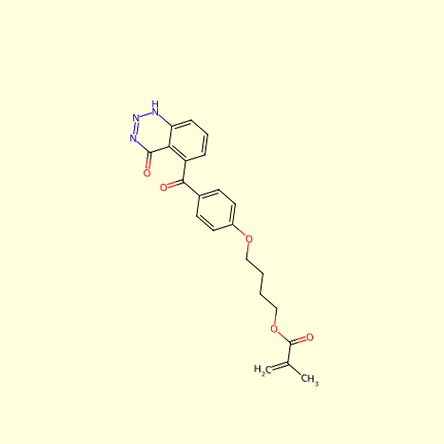 C=C(C)C(=O)OCCCCOc1ccc(C(=O)c2cccc3[nH]nnc(=O)c23)cc1